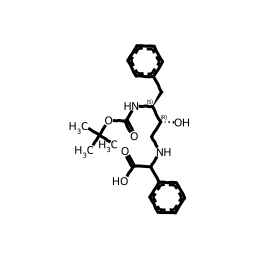 CC(C)(C)OC(=O)N[C@@H](Cc1ccccc1)[C@H](O)CNC(C(=O)O)c1ccccc1